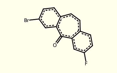 O=c1c2cc(F)ccc2ccc2ccc(Br)cc12